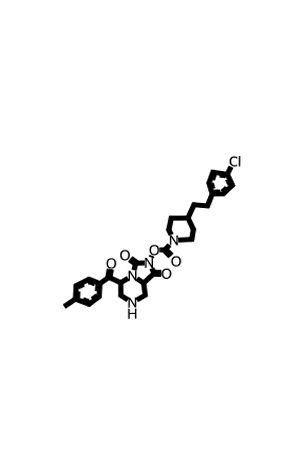 Cc1ccc(C(=O)C2CNCC3C(=O)N(OC(=O)N4CCC(CCc5ccc(Cl)cc5)CC4)C(=O)N23)cc1